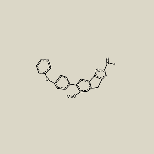 COc1cc2c(cc1-c1ccc(Oc3ccccc3)cc1)-c1nc(NI)sc1C2